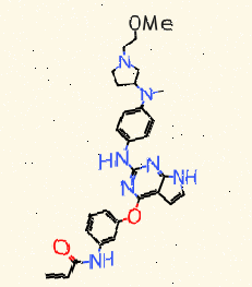 C=CC(=O)Nc1cccc(Oc2nc(Nc3ccc(N(C)C4CCN(CCOC)C4)cc3)nc3[nH]ccc23)c1